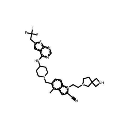 Cc1c(CN2CCC(Nc3ncnc4sc(CC(F)(F)F)cc34)CC2)ccc2c1cc(C#N)n2CCN1CCC2(CNC2)C1